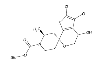 C[C@H]1C[C@@]2(CCN1C(=O)OC(C)(C)C)OCC(O)c1c2sc(Cl)c1Cl